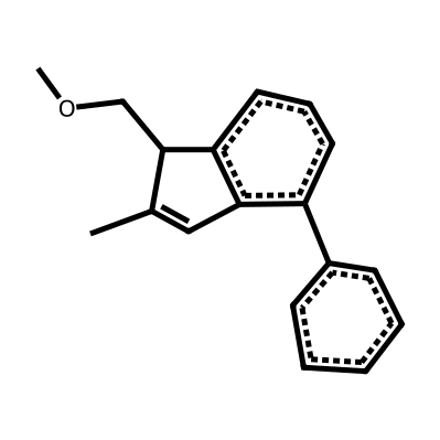 COCC1C(C)=Cc2c(-c3ccccc3)cccc21